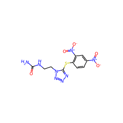 NC(=O)NCCn1nnnc1Sc1ccc([N+](=O)[O-])cc1[N+](=O)[O-]